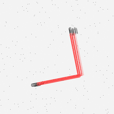 [Ca+2].[Ca+2].[Ca+2].[Ca+2].[Ca+2].[Ca+2].[Ca+2].[Ca+2].[Ca+2].[Ca+2].[Ca+2].[Ca+2].[O-2].[O-2].[O-2].[O-2].[O-2].[O-2].[O-2].[O-2].[O-2].[O-2].[O-2].[O-2].[O-2].[O-2].[O-2].[O-2].[O-2].[O-2].[O-2].[O-2].[O-2].[O-2].[O-2].[O-2].[O-2].[O-2].[O-2].[O-2].[O-2].[O-2].[O-2].[O-2].[O-2].[O-2].[O-2].[O-2].[O-2].[O-2].[O-2].[O-2].[O-2].[O-2].[O-2].[O-2].[O-2].[O-2].[O-2].[O-2].[O-2].[O-2].[O-2].[O-2].[O-2].[O-2].[O-2].[O-2].[O-2].[O-2].[O-2].[O-2].[O-2].[O-2].[O-2].[O-2].[O-2].[O-2].[O-2].[O-2].[O-2].[O-2].[O-2].[O-2].[O-2].[O-2].[O-2].[O-2].[O-2].[O-2].[O-2].[O-2].[O-2].[O-2].[O-2].[O-2].[O-2].[O-2].[O-2]